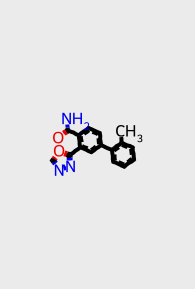 Cc1ccccc1-c1ccc(C(N)=O)c(-c2nnco2)c1